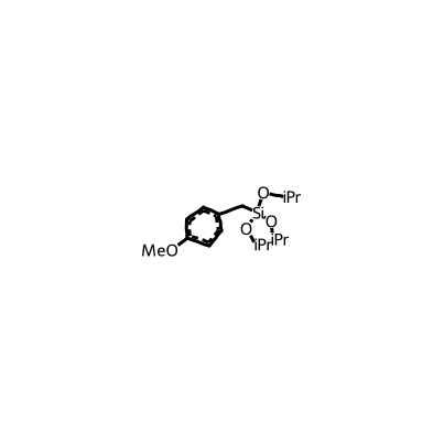 COc1ccc(C[Si](OC(C)C)(OC(C)C)OC(C)C)cc1